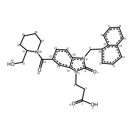 O=C(O)CCn1c(=O)n(Cc2cccc3ccccc23)c2ccc(C(=O)N3CCCCC3CO)cc21